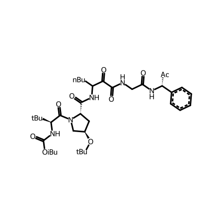 CCCCC(NC(=O)[C@@H]1C[C@@H](OC(C)(C)C)CN1C(=O)[C@@H](NC(=O)OCC(C)C)C(C)(C)C)C(=O)C(=O)NCC(=O)N[C@H](C(C)=O)c1ccccc1